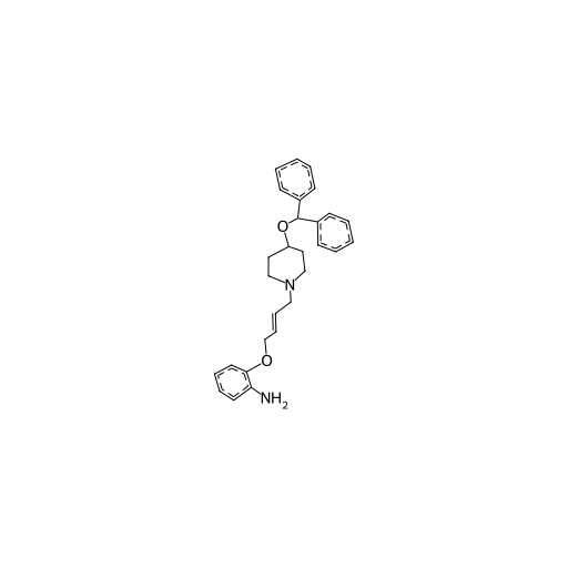 Nc1ccccc1OC/C=C/CN1CCC(OC(c2ccccc2)c2ccccc2)CC1